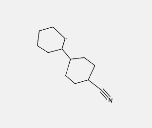 N#CC1CCC(C2[CH]CCCC2)CC1